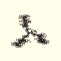 CC(=O)NC1C(O)[C@H](O[C@@H]2OC(CO)[C@H](O)C(O[C@H]3OC(CO)[C@H](O)C(O)C3O)C2O)C(CO)O[C@H]1OCCCNC(=O)COc1cc(C)cc(-c2cc(OCC(=O)NCCCO[C@@H]3OC(CO)[C@@H](O[C@@H]4OC(CO)[C@H](O)C(O[C@H]5OC(CO)[C@H](O)C(O)[C@H]5O)C4O)C(O)C3NC(C)=O)cc(OCC(=O)NCCCO[C@@H]3OC(CO)[C@H](O[C@@H]4OC(CO)[C@H](O)C(O[C@H]5OC(CO)[C@H](O)C(O)C5O)C4O)C(O)C3NC(C)=O)c2)c1